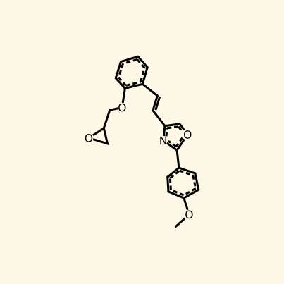 COc1ccc(-c2nc(/C=C/c3ccccc3OCC3CO3)co2)cc1